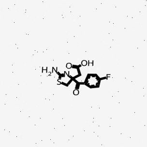 NC1=NC(CC(=O)O)(C(=O)c2ccc(F)cc2)CS1